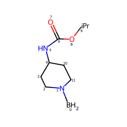 BN1CCC(NC(=O)OC(C)C)CC1